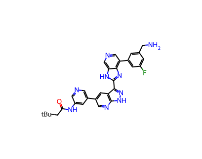 CC(C)(C)CC(=O)Nc1cncc(-c2cnc3[nH]nc(-c4nc5c(-c6cc(F)cc(CN)c6)cncc5[nH]4)c3c2)c1